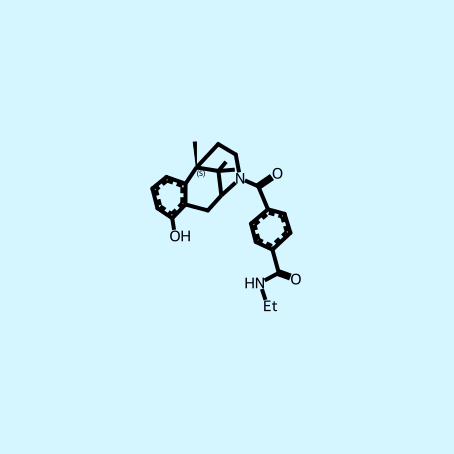 CCNC(=O)c1ccc(C(=O)N2CC[C@@]3(C)c4cccc(O)c4CC2C3(C)C)cc1